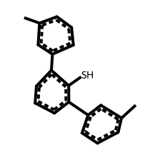 Cc1cccc(-c2cccc(-c3cccc(C)c3)c2S)c1